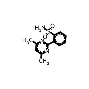 Cc1cc(C)nc(-c2ccccc2S(N)(=O)=O)n1